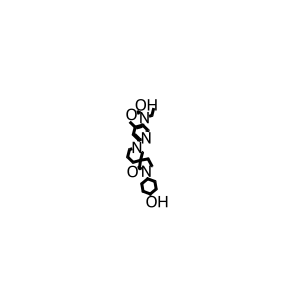 CCN(C(=O)O)c1cnc(N2CCCC3(CCN([C@H]4CC[C@H](O)CC4)C3=O)C2)cc1C